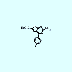 CCOC(=O)c1cc2c(-c3ccc(C)cn3)nc(N)nc2s1